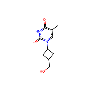 Cc1cn(C2CC(CO)C2)c(=O)[nH]c1=O